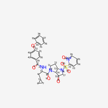 O=C(NC(CC1CC1)C(=O)N1CCC2C1C(=O)CN2S(=O)(=O)c1cccc[n+]1[O-])c1ccc(Oc2ccccc2)cc1